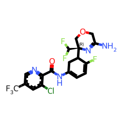 NC1=N[C@](C(F)F)(C2CC(NC(=O)c3ncc(C(F)(F)F)cc3Cl)=CC=C2F)COC1